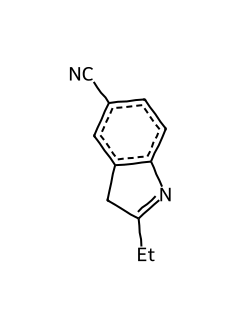 CCC1=Nc2ccc(C#N)cc2C1